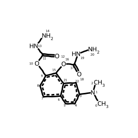 CN(C)c1ccc2ccc(OC(=O)NN)c(OC(=O)NN)c2c1